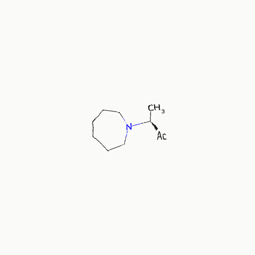 CC(=O)[C@H](C)N1CCCCCC1